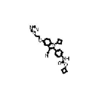 N#Cc1c(-c2ccc(NC(=O)OC3CCC3)cc2)n(C2CCC2)c2ccc(OCCn3cncn3)cc12